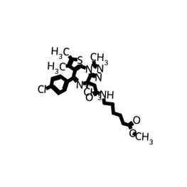 COC(=O)CCCCCNC(=O)C[C@]1(C)N=C(c2ccc(Cl)cc2)c2c(sc(C)c2C)-n2c(C)nnc21